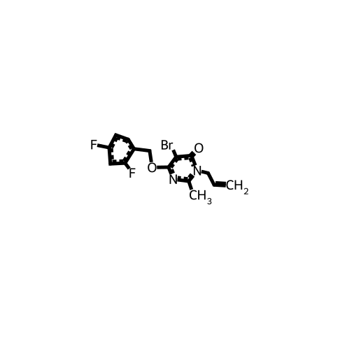 C=CCn1c(C)nc(OCc2ccc(F)cc2F)c(Br)c1=O